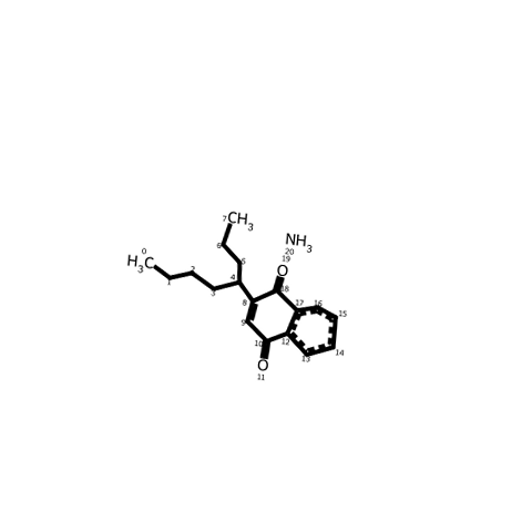 CCCCC(CCC)C1=CC(=O)c2ccccc2C1=O.N